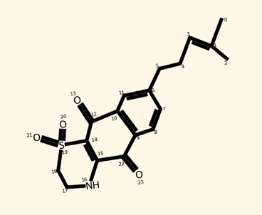 CC(C)=CCCc1ccc2c(c1)C(=O)C1=C(NCCS1(=O)=O)C2=O